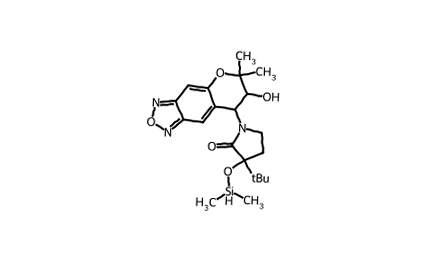 C[SiH](C)OC1(C(C)(C)C)CCN(C2c3cc4nonc4cc3OC(C)(C)C2O)C1=O